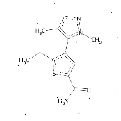 CCc1sc(C(N)=O)cc1-c1c(C)cnn1C